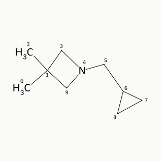 CC1(C)CN(CC2CC2)C1